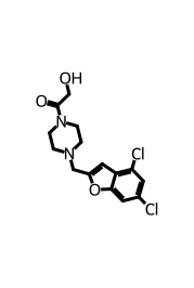 O=C(CO)N1CCN(Cc2cc3c(Cl)cc(Cl)cc3o2)CC1